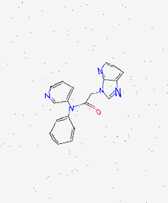 O=C(Cn1cnc2cccnc21)N(c1ccccc1)c1cccnc1